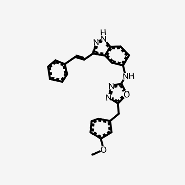 COc1cccc(Cc2nnc(Nc3ccc4[nH]nc(/C=C/c5ccccc5)c4c3)o2)c1